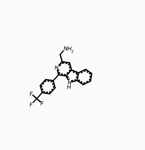 NCc1cc2c([nH]c3ccccc32)c(-c2ccc(C(F)(F)F)cc2)n1